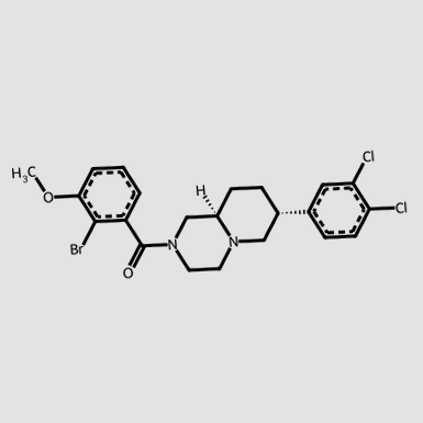 COc1cccc(C(=O)N2CCN3C[C@@H](c4ccc(Cl)c(Cl)c4)CC[C@@H]3C2)c1Br